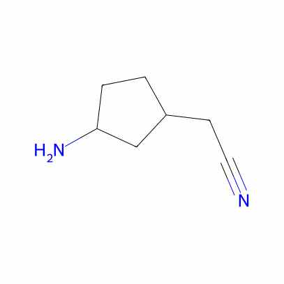 N#CCC1CCC(N)C1